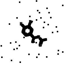 CC(=O)OC(C)c1ccc(F)c(Br)c1